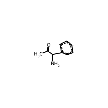 CC(=O)C(N)c1cc[c]cc1